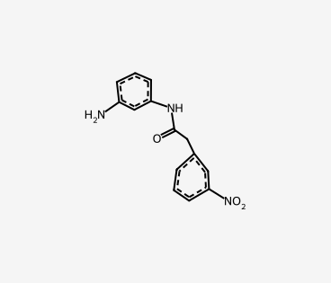 Nc1cccc(NC(=O)Cc2cccc([N+](=O)[O-])c2)c1